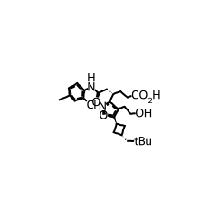 Cc1ccc(NC(=O)C[C@H](CCC(=O)O)c2noc([C@H]3C[C@H](CC(C)(C)C)C3)c2CCO)c(Cl)c1